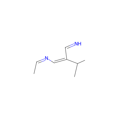 C/C=N\C=C(/C=N)C(C)C